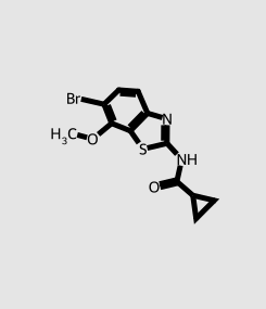 COc1c(Br)ccc2nc(NC(=O)C3CC3)sc12